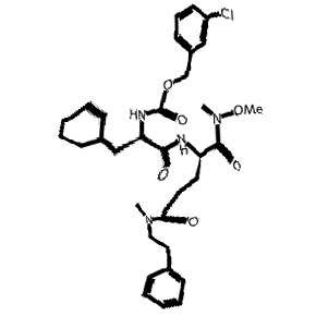 CON(C)C(=O)[C@@H](CCC(=O)N(C)CCc1ccccc1)NC(=O)[C@@H](CC1CCCCC1)NC(=O)OCc1cccc(Cl)c1